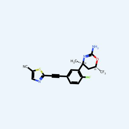 C[C@@]1(c2cc(C#Cc3ncc(C#N)s3)ccc2F)C[C@@H](C(F)(F)F)OC(N)=N1